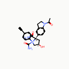 C#Cc1ccc([N+]2(C(N)=O)C[C@H](O)C[C@]2(C(N)=O)c2ccc3c(c2)CCN3C(C)=O)cc1